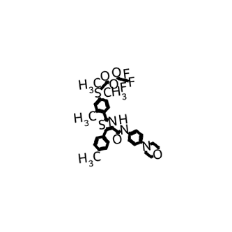 Cc1ccc(-c2sc(-c3ccc(SC(C)(C)C(=O)OC(=O)C(F)(F)F)cc3C)nc2C(=O)Nc2ccc(N3CCOCC3)cc2)cc1